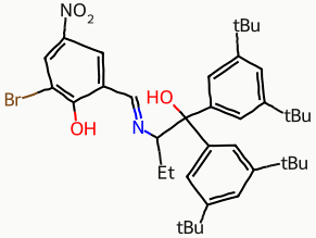 CCC(N=Cc1cc([N+](=O)[O-])cc(Br)c1O)C(O)(c1cc(C(C)(C)C)cc(C(C)(C)C)c1)c1cc(C(C)(C)C)cc(C(C)(C)C)c1